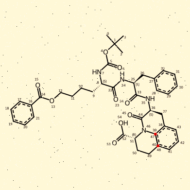 CC(C)(C)OC(=O)N[C@@H](CCCCOC(=O)c1ccccc1)C(=O)N[C@@H](Cc1ccccc1)C(=O)N[C@@H](Cc1ccccc1)C(=O)N1CCCC[C@@H]1C(=O)O